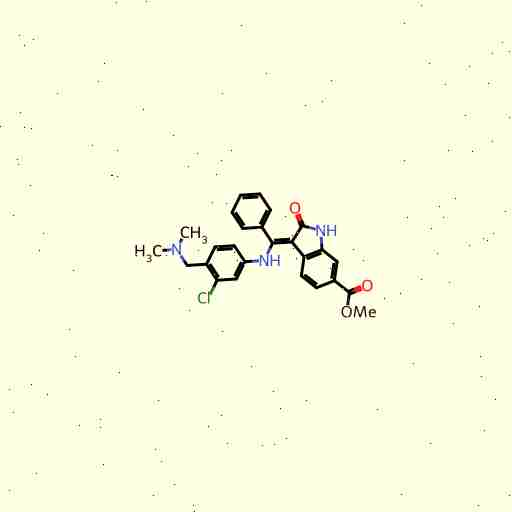 COC(=O)c1ccc2c(c1)NC(=O)C2=C(Nc1ccc(CN(C)C)c(Cl)c1)c1ccccc1